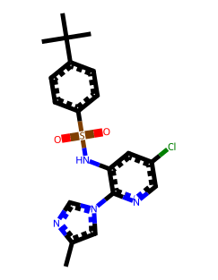 Cc1cn(-c2ncc(Cl)cc2NS(=O)(=O)c2ccc(C(C)(C)C)cc2)cn1